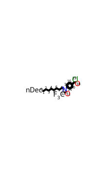 CCCCCCCCCCCCCCCCCCN(C(=O)C(F)(F)F)c1ccc(C(=O)Cl)cc1